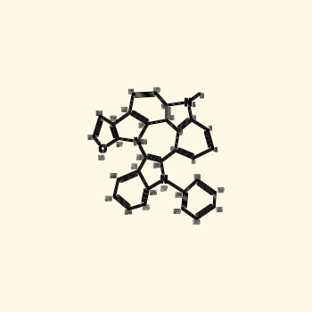 Cn1c2cccc3c2c2c1ccc1c4ccoc4n(c12)c1c2ccccc2n(-c2ccccc2)c31